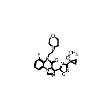 COC1(c2noc(-c3ncn4c3c(=O)n(CCN3CCOCC3)c3c(F)cccc34)n2)CC1